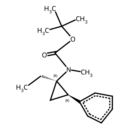 CC[C@@]1(N(C)C(=O)OC(C)(C)C)C[C@@H]1c1ccccc1